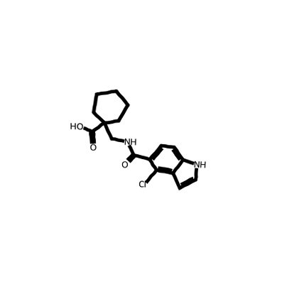 O=C(NCC1(C(=O)O)CCCCC1)c1ccc2[nH]ccc2c1Cl